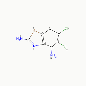 Nc1nc2c(s1)CC(Cl)C(Cl)C2N